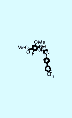 COC(=O)c1cc(OC)c(NS(=O)(=O)c2cnn(-c3ccc(C4CCC(C(F)(F)F)CC4)cc3)c2)cc1F